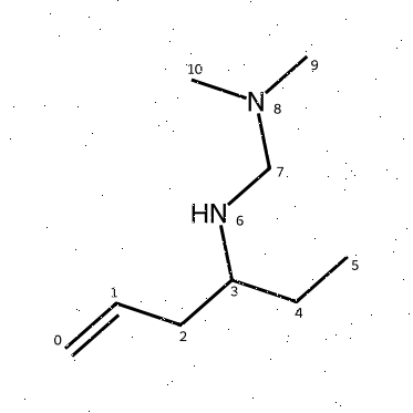 C=CCC(CC)NCN(C)C